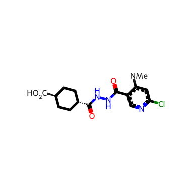 CNc1cc(Cl)ncc1C(=O)NNC(=O)[C@H]1CC[C@H](C(=O)O)CC1